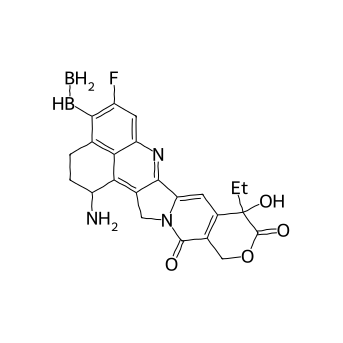 BBc1c(F)cc2nc3c(c4c2c1CCC4N)Cn1c-3cc2c(c1=O)COC(=O)C2(O)CC